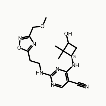 COCc1noc(CCNc2ncc(C#N)c(N[C@@H]3CC(O)C3(C)C)n2)n1